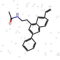 C=Cc1ccc2cc(-c3ccccc3)cc(CCNC(C)=O)c2c1